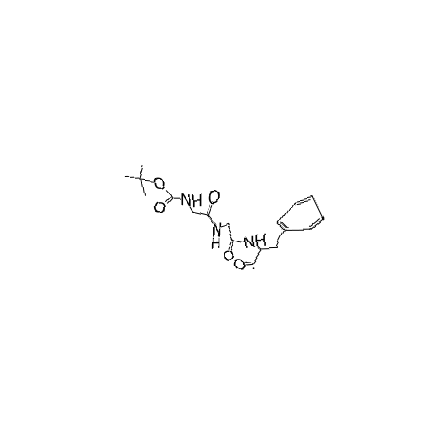 CC(C)(C)OC(=O)NCC(=O)NCC(=O)NC([C]=O)Cc1ccccc1